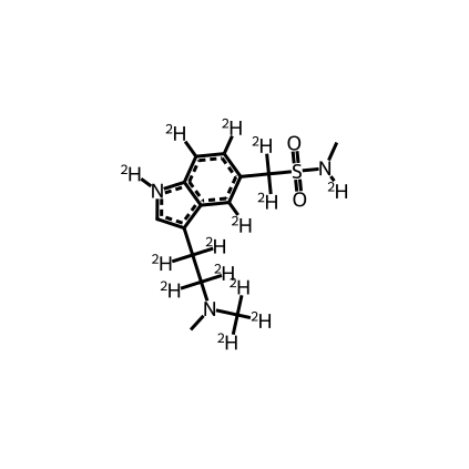 [2H]c1c(C([2H])([2H])S(=O)(=O)N([2H])C)c([2H])c2c(C([2H])([2H])C([2H])([2H])N(C)C([2H])([2H])[2H])cn([2H])c2c1[2H]